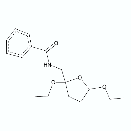 CCOC1CCC(CNC(=O)c2ccccc2)(OCC)O1